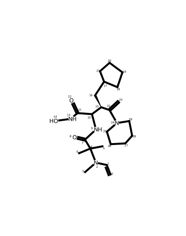 C=CN(C)C(C)(C)C(=O)NC(C(=O)NO)[C@@H](CC1CCCC1)C(=C)N1CCCCC1